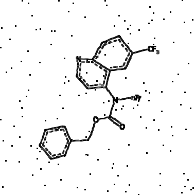 CCCN(C(=O)OCc1ccccc1)c1ccnc2ccc(C(F)(F)F)cc12